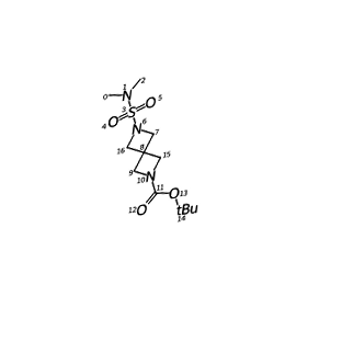 CN(C)S(=O)(=O)N1CC2(CN(C(=O)OC(C)(C)C)C2)C1